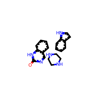 C1CNCCN1.O=c1ncc2ccccc2[nH]1.c1ccc2[nH]ccc2c1